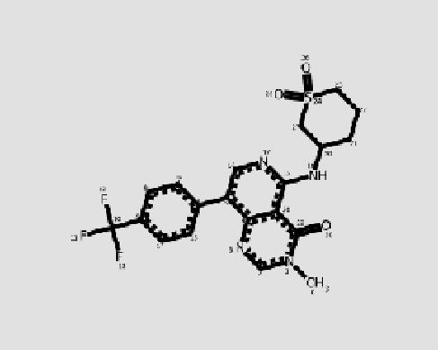 Cn1cnc2c(-c3ccc(C(F)(F)F)cc3)cnc(NC3CCCS(=O)(=O)C3)c2c1=O